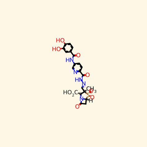 C[C@]1(/C=N/NC(=O)c2ccc(NC(=O)c3ccc(O)c(O)c3)cn2)[C@H](C(=O)O)N2C(=O)C[C@H]2S1(=O)=O